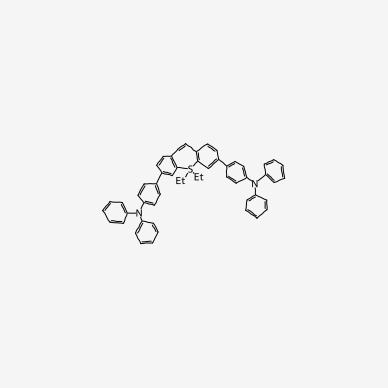 CCS1(CC)c2cc(-c3ccc(N(c4ccccc4)c4ccccc4)cc3)ccc2C=Cc2ccc(-c3ccc(N(c4ccccc4)c4ccccc4)cc3)cc21